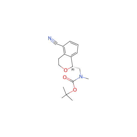 CN(C[C@@H]1OCCc2c(C#N)cccc21)C(=O)OC(C)(C)C